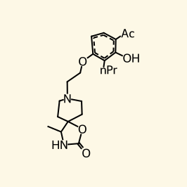 CCCc1c(OCCN2CCC3(CC2)OC(=O)NC3C)ccc(C(C)=O)c1O